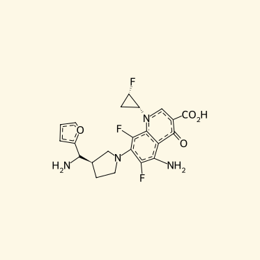 Nc1c(F)c(N2CC[C@@H](C(N)c3ccco3)C2)c(F)c2c1c(=O)c(C(=O)O)cn2[C@@H]1C[C@@H]1F